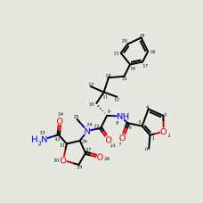 Cc1occc1C(=O)N[C@@H](CC(C)(C)CCc1ccccc1)C(=O)N(C)C1C(=O)COC1C(N)=O